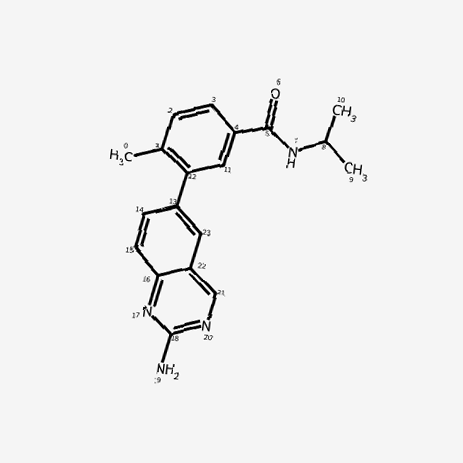 Cc1ccc(C(=O)NC(C)C)cc1-c1ccc2nc(N)ncc2c1